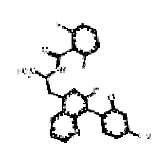 N#Cc1ccc(-c2c(F)cc(CC(NC(=O)c3c(F)cccc3F)C(=O)O)c3cccnc23)c(Cl)c1